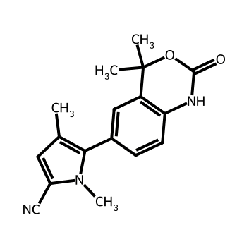 Cc1cc(C#N)n(C)c1-c1ccc2c(c1)C(C)(C)OC(=O)N2